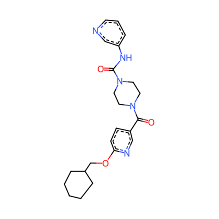 O=C(Nc1cccnc1)N1CCN(C(=O)c2ccc(OCC3CCCCC3)nc2)CC1